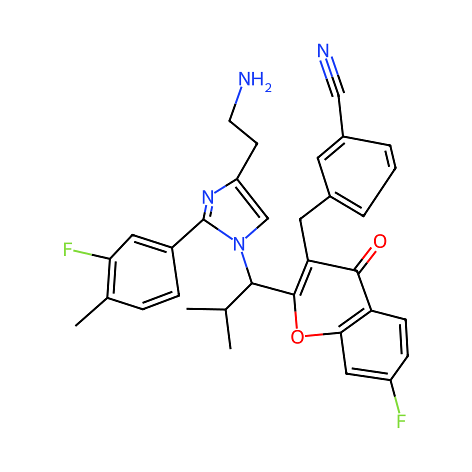 Cc1ccc(-c2nc(CCN)cn2C(c2oc3cc(F)ccc3c(=O)c2Cc2cccc(C#N)c2)C(C)C)cc1F